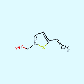 C=Cc1ccc(CO)s1